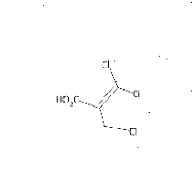 O=C(O)C(CCl)=C(Cl)Cl